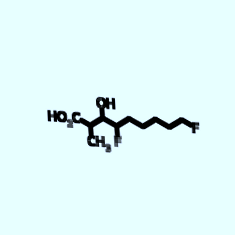 CC(C(=O)O)C(O)C(F)CCCCCF